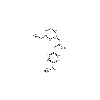 CCN1CCO[C@@H](CN(C)Cc2ccc(OC)cc2)C1